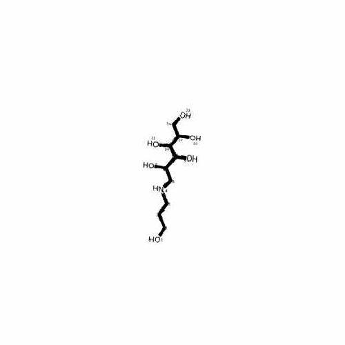 OCCCNCC(O)C(O)C(O)C(O)CO